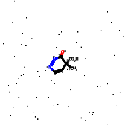 CC1(C(=O)O)C=CN=NC1=O